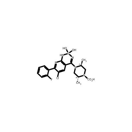 C[C@@H]1CN(C2=NS(O)(O)Nc3nc(-c4ccccc4F)c(Cl)cc32)[C@@H](C)CN1C(=O)O